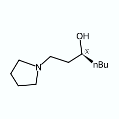 CCCC[C@H](O)CCN1CCCC1